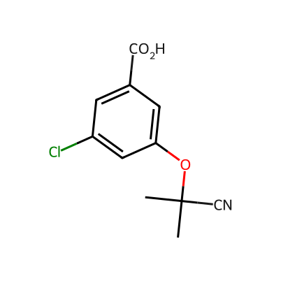 CC(C)(C#N)Oc1cc(Cl)cc(C(=O)O)c1